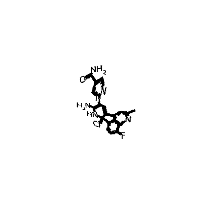 Cc1cc(C2=CC(n3cc(C(N)=O)cn3)=C(N)NC2(Cl)c2ccc(F)cc2)ccn1